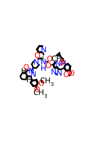 COc1ccc(C2=NN(C3CCN(C(=O)[C@H](Cc4ccccn4)NC(=O)Oc4c(C)[nH]c5c(-c6c(OCC7CC7)ccc7c6OCO7)ncnc45)CC3)C(=O)[C@@H]3CCCC[C@H]23)cc1OC